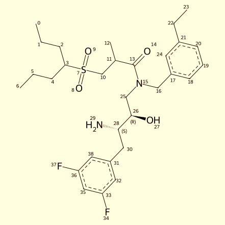 CCCC(CCC)S(=O)(=O)CC(C)C(=O)N(Cc1cccc(CC)c1)C[C@@H](O)[C@@H](N)Cc1cc(F)cc(F)c1